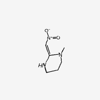 CN1CCCNC1=C[N+](=O)[O-]